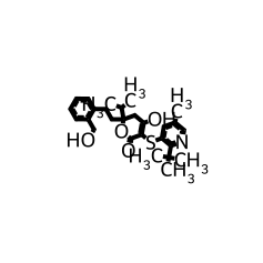 Cc1cnc(C(C)(C)C)c(SC2=C(O)CC(CCc3ccccc3CO)(C(C)C)OC2=O)c1